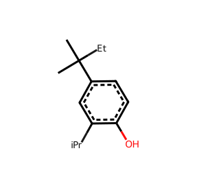 CCC(C)(C)c1ccc(O)c(C(C)C)c1